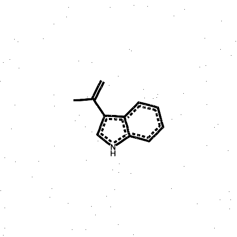 C=C(C)c1c[nH]c2ccccc12